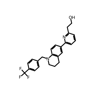 OCCc1cccc(-c2ccc3c(c2)CCCN3Cc2ccc(C(F)(F)F)cc2)n1